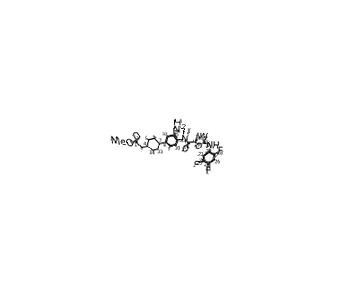 COC(=O)CC1CCC(c2ccc(NC(=O)c3nnc(Nc4cc(F)c(F)cc4F)o3)c(N)c2)CC1